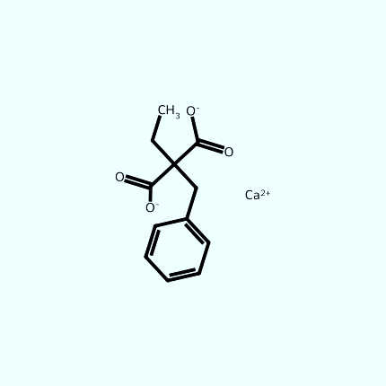 CCC(Cc1ccccc1)(C(=O)[O-])C(=O)[O-].[Ca+2]